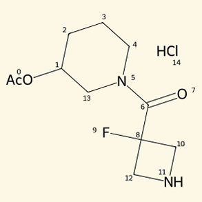 CC(=O)OC1CCCN(C(=O)C2(F)CNC2)C1.Cl